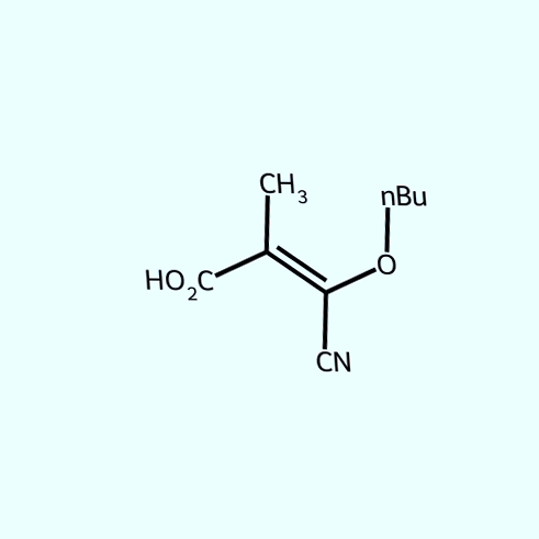 CCCCOC(C#N)=C(C)C(=O)O